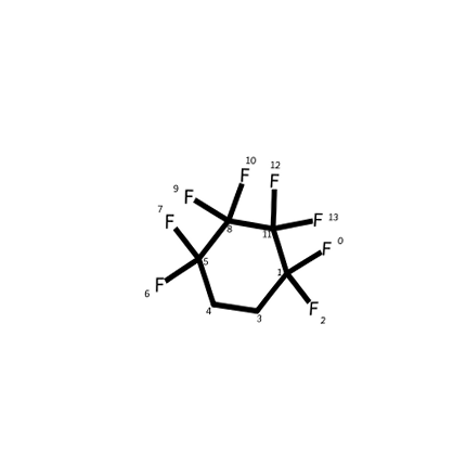 FC1(F)CCC(F)(F)C(F)(F)C1(F)F